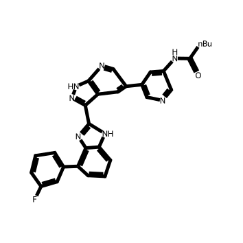 CCCCC(=O)Nc1cncc(-c2cnc3[nH]nc(-c4nc5c(-c6cccc(F)c6)cccc5[nH]4)c3c2)c1